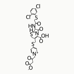 COC(=O)CC(=O)C[n+]1ccc(SCC2=C(C(=O)O)N3C(=O)[C@H](NC(=O)CSc4cc(Cl)ccc4Cl)[C@H]3SC2)cc1